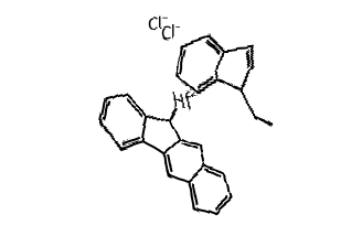 CCC1C=Cc2ccccc21.[Cl-].[Cl-].[Hf+2][CH]1c2ccccc2-c2cc3ccccc3cc21